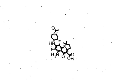 CC(=O)N1CCC(Nc2c(F)c(N)c3c(=O)c(C(=O)O)c4n(c3c2F)C(C)(C)CC4)CC1